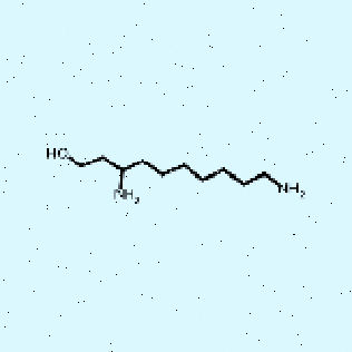 NCCCCCCCC(N)CCO